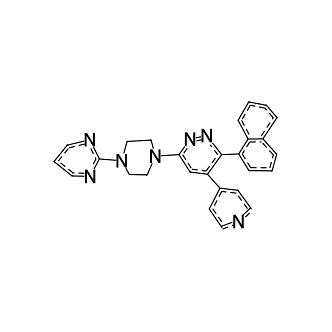 c1cnc(N2CCN(c3cc(-c4ccncc4)c(-c4cccc5ccccc45)nn3)CC2)nc1